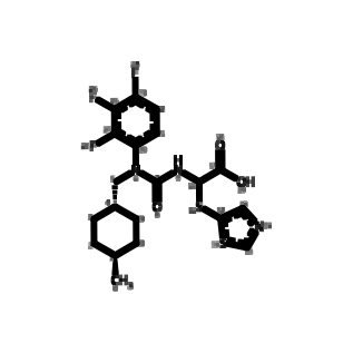 C[C@H]1CC[C@H](CN(C(=O)NC(Sc2cncs2)C(=O)O)c2ccc(F)c(F)c2F)CC1